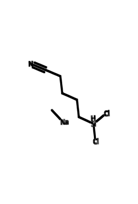 N#CCCCC[SiH](Cl)Cl.[CH3][Na]